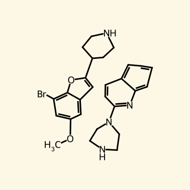 COc1cc(Br)c2oc(C3CCNCC3)cc2c1.c1ccc2nc(N3CCNCC3)ccc2c1